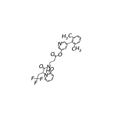 Cc1cccc(C)c1-c1cncc(OC(=O)CCNC(=O)C(CC(F)(F)F)n2ccccc2=O)c1